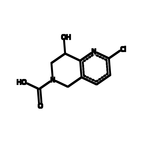 O=C(O)N1Cc2ccc(Cl)nc2C(O)C1